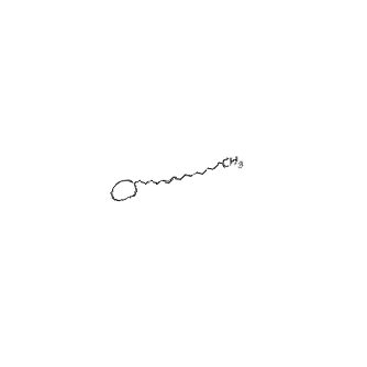 CCCCCCCCCCCCCCCCC1CCCCCCCCCC1